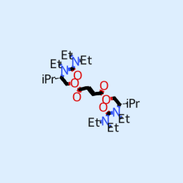 CCN(CC)C(=O)N(CC)[C@H](COC(=O)/C=C/C(=O)OC[C@H](C(C)C)N(CC)C(=O)N(CC)CC)C(C)C